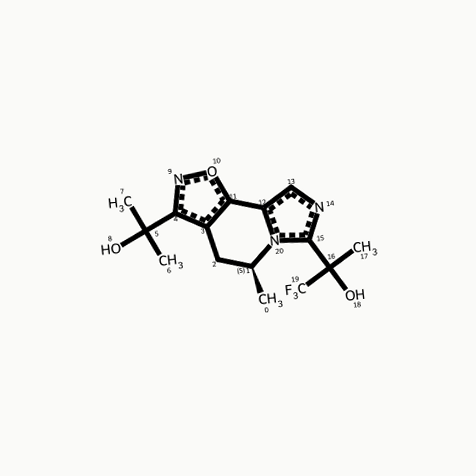 C[C@H]1Cc2c(C(C)(C)O)noc2-c2cnc(C(C)(O)C(F)(F)F)n21